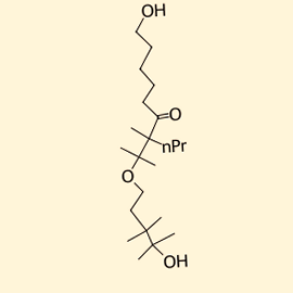 CCCC(C)(C(=O)CCCCCO)C(C)(C)OCCC(C)(C)C(C)(C)O